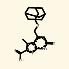 Cc1c(C(=O)O)sc2[nH]c(=O)cc(CSC34CC5CC(CC(C5)C3)C4)c12